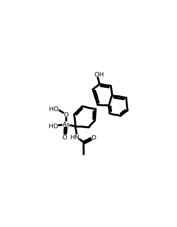 CC(=O)NC1([As](=O)(O)OO)C=CC=CC1.Oc1ccc2ccccc2c1